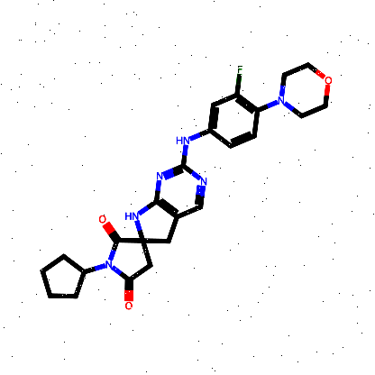 O=C1CC2(Cc3cnc(Nc4ccc(N5CCOCC5)c(F)c4)nc3N2)C(=O)N1C1CCCC1